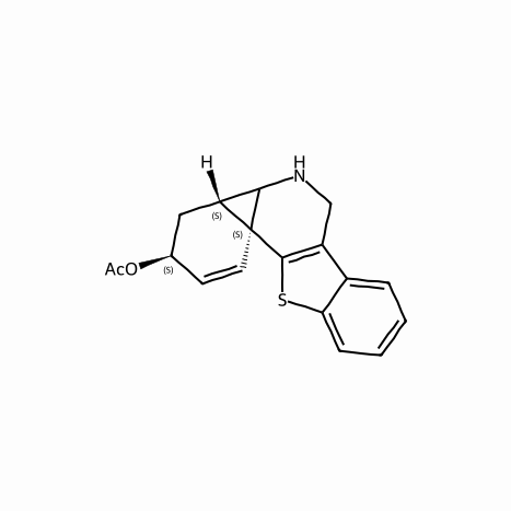 CC(=O)O[C@@H]1C=C[C@@]23c4sc5ccccc5c4CNC2[C@H]3C1